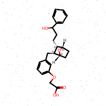 O=C(O)COc1cccc(C[C@H]2[C@H](CCC(O)c3ccccc3)[C@@H]3CC[C@H]2O3)c1